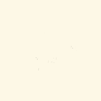 CCCCCC[N+]1(C)CCCC1.Cc1ccccc1N